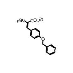 CCCCC(=Cc1ccc(OCc2ccccc2)cc1)C(=O)OCC